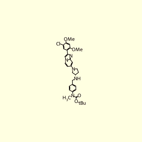 COc1cc(OC)c(-c2cn3ccc(N4CC[C@H](NCc5ccc(N(C)C(=O)OC(C)(C)C)cc5)C4)cc3n2)cc1Cl